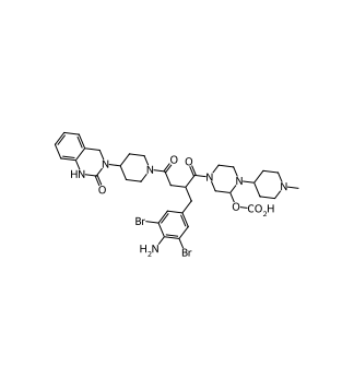 CN1CCC(N2CCN(C(=O)C(CC(=O)N3CCC(N4Cc5ccccc5NC4=O)CC3)Cc3cc(Br)c(N)c(Br)c3)CC2OC(=O)O)CC1